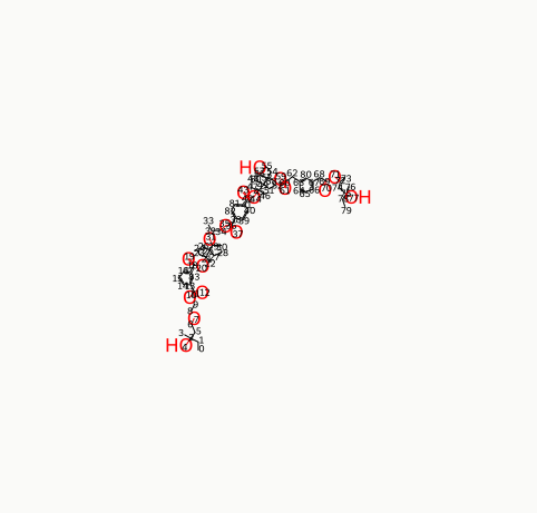 CCC(C)(O)CCOCCOC(=O)c1cccc(C(=O)OC(C)(CC)[C@@](C)(CC)C(C)OC(C)COC(=O)c2ccc(C(=O)OC(C)(CC)C(C)(CC)C(CC)(CO)COC(=O)Cc3cccc(CC(=O)OC(C)CC(C)(O)CC)c3)cc2)c1